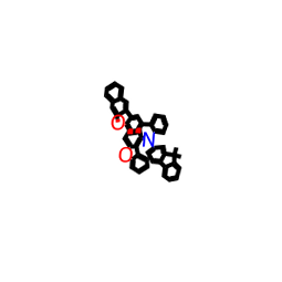 CC1(C)c2ccccc2-c2ccc(N(c3ccccc3-c3ccc4oc5cc6ccccc6cc5c4c3)c3cccc4oc5ccccc5c34)cc21